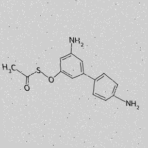 CC(=O)SOc1cc(N)cc(-c2ccc(N)cc2)c1